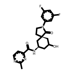 Cc1nccc(C(=O)N[C@@H]2CC(O)C[C@]3(CCN(c4cc(F)cc(F)c4)C3=O)C2)n1